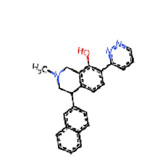 CN1Cc2c(ccc(-c3cccnn3)c2O)C(c2ccc3ccccc3c2)C1